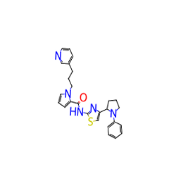 O=C(Nc1nc(C2CCCN2c2ccccc2)cs1)c1cccn1CCCc1cccnc1